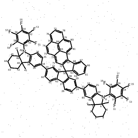 CC12CCCCC1(C)N(c1c(F)c(F)c(F)c(F)c1F)c1ccc(-c3ccc4c(c3)C3(c5cc(-c6ccc7c(c6)C6(C)CCCCC6(C)N7c6c(F)c(F)c(F)c(F)c6F)ccc5-4)c4ccccc4-c4c3cc3ccc5cccc6ccc4c3c56)cc12